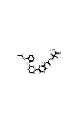 CCOc1ccccc1OC1CCCN(c2cncc(NC(=O)CCC(C)(C)C(=O)O)n2)C1